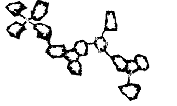 c1ccc(-c2nc(-c3ccc4c5cc(-c6ccc([Si](c7ccccc7)(c7ccccc7)c7ccccc7)cc6)ccc5c5ccccc5c4c3)nc(-c3ccc4c(c3)c3ccccc3n4-c3ccccc3)n2)cc1